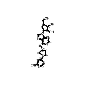 OCC1CC(n2cnc3c(N[C@H]4CCN(c5cc(Cl)ncn5)C4)ncnc32)C(O)C1O